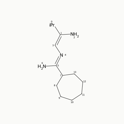 CC(C)/C(N)=C/N=C(\N)C1CCCCCC1